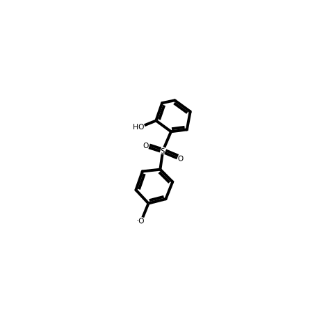 [O]c1ccc(S(=O)(=O)c2ccccc2O)cc1